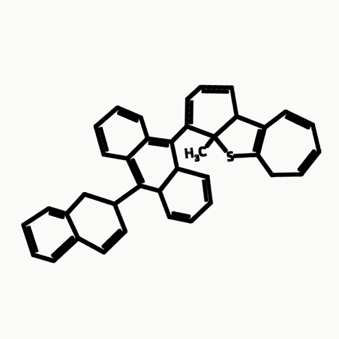 CC12SC3=C(C=CC=CC3)C1C=CC=C2C1=c2ccccc2=C(C2C=Cc3ccccc3C2)C2C=CC=CC12